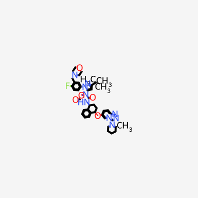 C[C@H]1CCCCN1c1nnc2ccc(O[C@@H]3CC[C@H](NC(=O)N(OC=O)c4cc(C(C)(C)C)nn4-c4ccc(F)c(CN5CCOCC5)c4)c4ccccc43)cn12